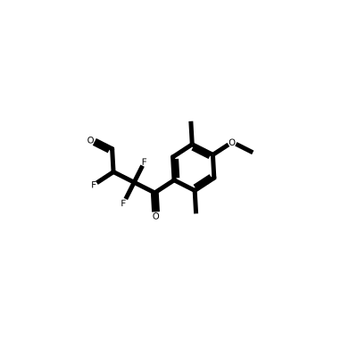 COc1cc(C)c(C(=O)C(F)(F)C(F)C=O)cc1C